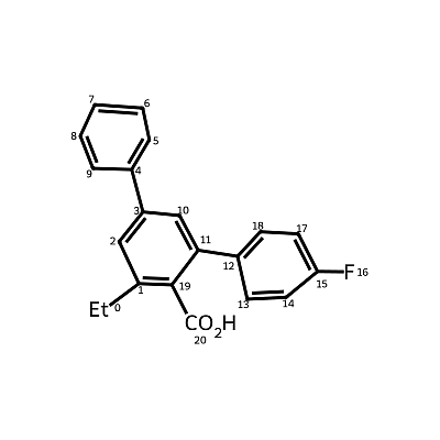 CCc1cc(-c2ccccc2)cc(-c2ccc(F)cc2)c1C(=O)O